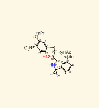 CCCOc1cc(C[C@H](NC(C)=O)[C@@H](O)CNC2(c3cccc(C(C)(C)C)c3)CC2)ccc1[N+](=O)[O-]